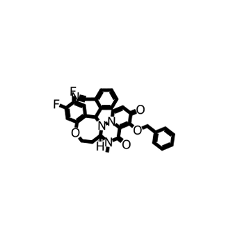 CN1C(=O)c2c(OCc3ccccc3)c(=O)ccn2N2C(c3ccccc3C#N)c3cc(F)c(F)cc3OCC[C@@H]12